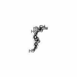 CC(C)(C)C(C)(C(=O)OCC(O)COC1=CC2OC(=O)C(c3ccc(OCCO)cc3)=CC2C=C1)C(C)(C)C